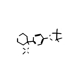 CC1(C)OB(c2cnc(C3(O[Si](C)(C)C)CCOCC3)nc2)OC1(C)C